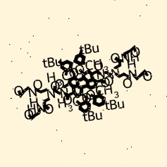 Cc1cc(C(C)(C)C)ccc1Oc1cc2c3c(cc(Oc4ccc(C(C)(C)C)cc4C)c4c5c(Oc6ccc(C(C)(C)C)cc6C)cc6c7c(cc(Oc8ccc(C(C)(C)C)cc8C)c(c1c34)c75)C(=O)N(CC(=O)N(CCC(=O)NCC1CO1)CCC(=O)NCC1CO1)C6=O)C(=O)N(CC(=O)N(CCC(=O)NCC1CO1)CCC(=O)NCC1CO1)C2=O